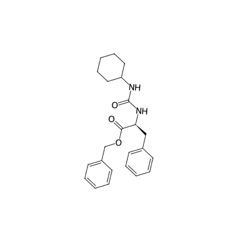 O=C(NC1CCCCC1)N[C@@H](Cc1ccccc1)C(=O)OCc1ccccc1